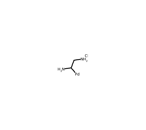 NC[CH](N)[Pd].[C]